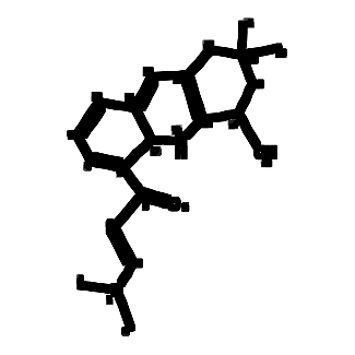 CN(C)C=CC(=O)C1=CC=CC2=CC3=C(NC21)C(O)CC(C)(C)C3